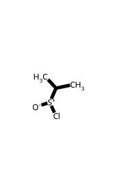 CC(C)[S+]([O-])Cl